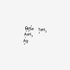 [Ag].[AsH3].[Cu].[SeH2].[TeH2]